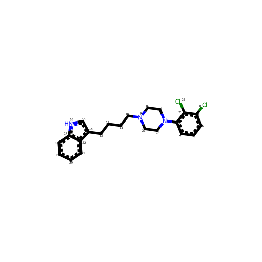 Clc1cccc(N2CCN(CCCCc3c[nH]c4ccccc34)CC2)c1Cl